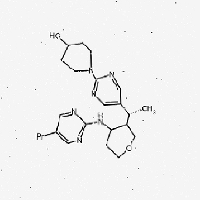 CC(C)c1cnc(NC2CCOCC2[C@@H](C)c2cnc(N3CCC(O)CC3)nc2)nc1